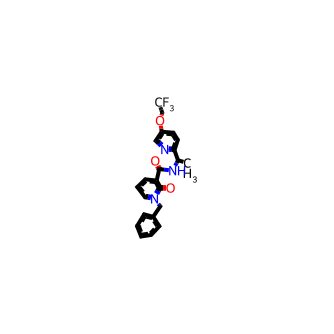 CC(NC(=O)c1cccn(Cc2ccccc2)c1=O)c1ccc(OCC(F)(F)F)cn1